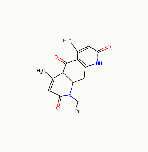 CC1=CC(=O)N(CC(C)C)C2Cc3[nH]c(=O)cc(C)c3C(=O)C12